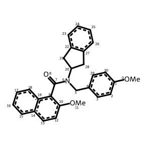 COc1ccc(CN(C(=O)c2c(OC)ccc3ccccc23)C2Cc3ccccc3C2)cc1